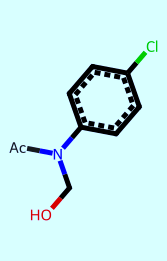 CC(=O)N(CO)c1ccc(Cl)cc1